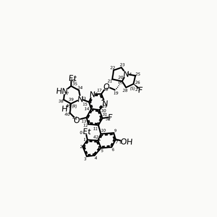 CCc1cccc2cc(O)cc(-c3cc4c5c(nc(OC[C@]67CCCN6C[C@@H](F)C7)nc5c3F)N3CC(CC)NC[C@@H]3CO4)c12